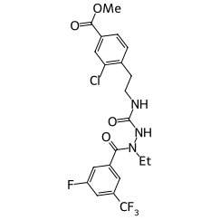 CCN(NC(=O)NCCc1ccc(C(=O)OC)cc1Cl)C(=O)c1cc(F)cc(C(F)(F)F)c1